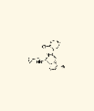 Clc1ccccc1-c1cn2c(Br)cnc2c(NCC2CC2)n1